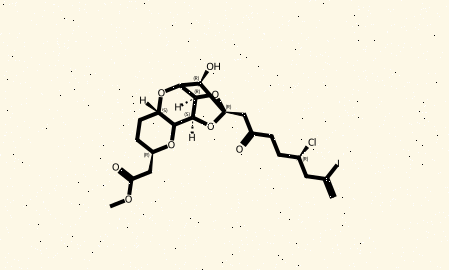 C=C(I)C[C@H](Cl)CCC(=O)C[C@@]12O[C@@H]3C(O[C@H]4CC[C@H](CC(=O)OC)OC4[C@@H]3O1)[C@H]2O